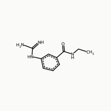 CCNC(=O)c1cccc(NC(=N)N)c1